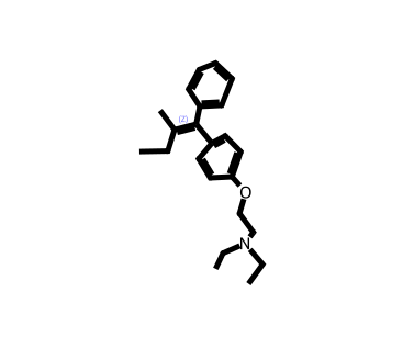 CC/C(C)=C(/c1ccccc1)c1ccc(OCCN(CC)CC)cc1